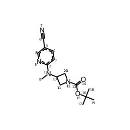 CN(c1ccc(C#N)cn1)C1CN(C(=O)OC(C)(C)C)C1